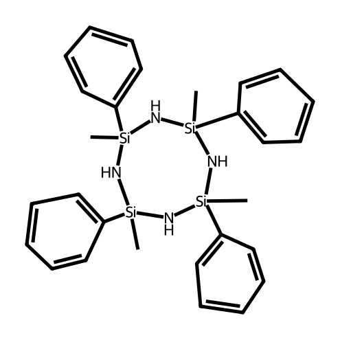 C[Si]1(c2ccccc2)N[Si](C)(c2ccccc2)N[Si](C)(c2ccccc2)N[Si](C)(c2ccccc2)N1